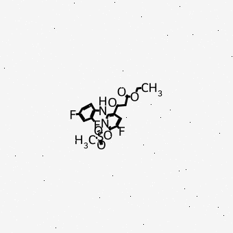 CCOC(=O)CC(=O)c1cc(F)c(OS(C)(=O)=O)nc1Nc1ccc(F)cc1F